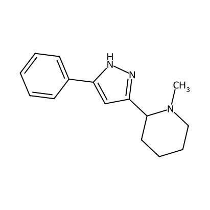 CN1CCCCC1c1cc(-c2ccccc2)[nH]n1